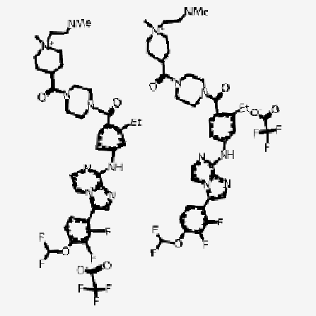 CCc1cc(Nc2nccn3c(-c4ccc(OC(F)F)c(F)c4F)cnc23)ccc1C(=O)N1CCN(C(=O)C2CC[N+](C)(CCNC)CC2)CC1.CCc1cc(Nc2nccn3c(-c4ccc(OC(F)F)c(F)c4F)cnc23)ccc1C(=O)N1CCN(C(=O)C2CC[N+](C)(CCNC)CC2)CC1.O=C([O-])C(F)(F)F.O=C([O-])C(F)(F)F